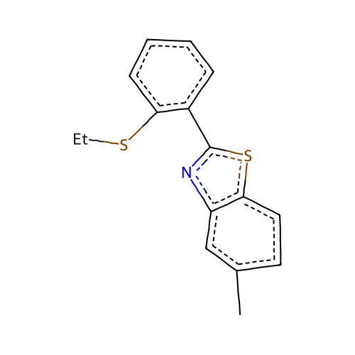 CCSc1ccccc1-c1nc2cc(C)ccc2s1